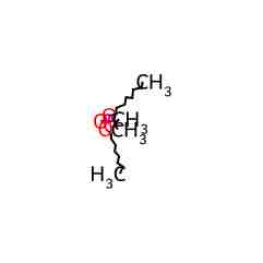 CCCCCCCCOP(=O)(OCCCCCCCC)C(C)C